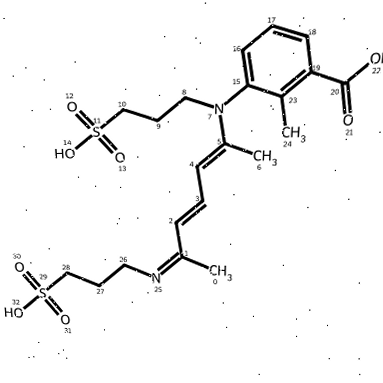 CC(/C=C/C=C(\C)N(CCCS(=O)(=O)O)c1cccc(C(=O)O)c1C)=N/CCCS(=O)(=O)O